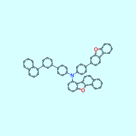 c1cc(-c2ccc(N(c3ccc(-c4ccc5c(c4)oc4ccccc45)cc3)c3cccc4oc5c6ccccc6ccc5c34)cc2)cc(-c2cccc3ccccc23)c1